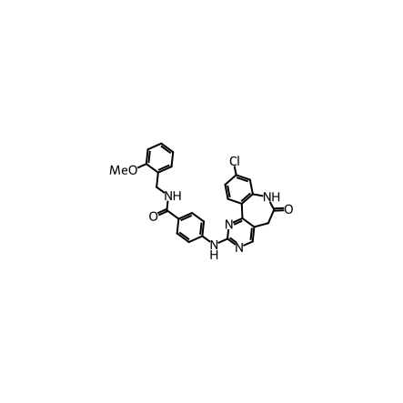 COc1ccccc1CNC(=O)c1ccc(Nc2ncc3c(n2)-c2ccc(Cl)cc2NC(=O)C3)cc1